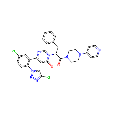 O=C(C(Cc1ccccc1)n1cnc(-c2cc(Cl)ccc2-n2cc(Cl)nn2)cc1=O)N1CCN(c2ccncc2)CC1